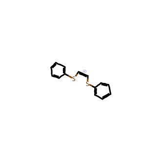 C(=C/Sc1ccccc1)/Sc1ccccc1